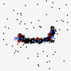 CC(C)Oc1cc2nc(C3CCN(CC(=O)N4CCC(c5ccc(CN6CCC(=O)NC6=O)cc5)CC4)CC3)cn2cc1NC(=O)c1cccc(C(F)(F)F)n1